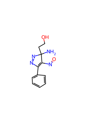 NC1(CCO)N=NC(c2ccccc2)=C1N=O